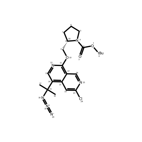 CC(C)(C)OC(=O)N1CCC[C@H]1COc1ncc(C(C)(C)N=[N+]=[N-])c2cc(Cl)ncc12